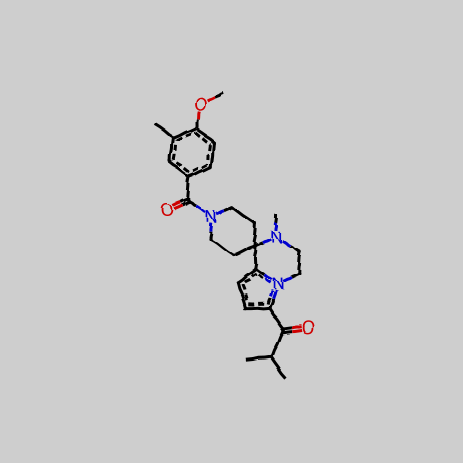 COc1ccc(C(=O)N2CCC3(CC2)c2ccc(C(=O)C(C)C)n2CCN3C)cc1C